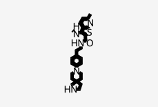 CNc1c(C(=O)NCCc2ccc(N3CCC4(CCNC4)CC3)cc2)sc2nc(C)ccc12